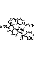 CC=Cc1ccccc1-n1nc(C(=O)N(C)C(C)(C)C)c2c1-c1cc(OC(C)C)c(OC)cc1CC2